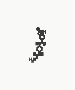 NCC(=O)NC1CCC(NC(=O)c2ccc3c(c2)CC(=O)N3)CC1